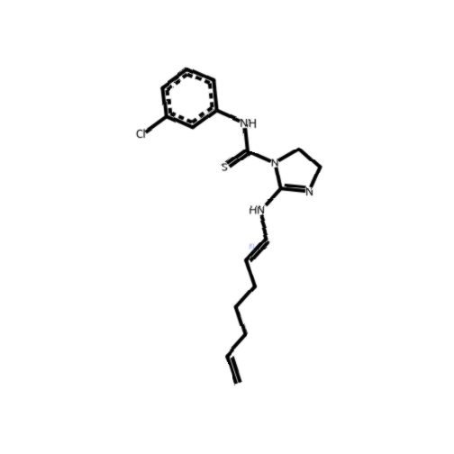 C=CCCC/C=C/NC1=NCCN1C(=S)Nc1cccc(Cl)c1